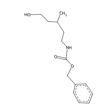 CC(CCO)CCNC(=O)OCc1ccccc1